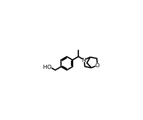 CC(c1ccc(CO)cc1)N1CC2CC1CO2